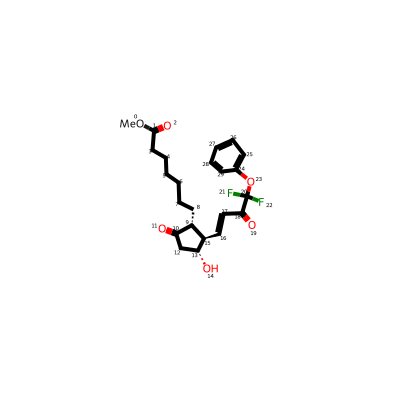 COC(=O)CCCCCC[C@H]1C(=O)C[C@@H](O)[C@@H]1/C=C/C(=O)C(F)(F)Oc1ccccc1